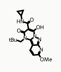 COc1ccc2c(n1)nn1c(O)c(C(=O)NC3CC3)c(=O)n(CC(C)(C)C)c21